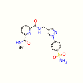 CC(C)NC(=O)c1cccc(C(=O)NCc2cnn(-c3ccc(S(N)(=O)=O)cc3)c2)n1